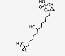 CC1(CCCCCC(O)CCCCCC2(OP(=O)(O)O)CC2)CC1